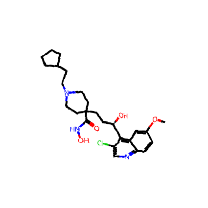 COc1ccc2ncc(Cl)c([C@H](O)CCC3(C(=O)NO)CCN(CCC4CCCC4)CC3)c2c1